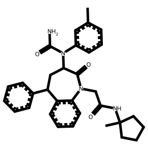 Cc1cccc(N(C(N)=O)C2CC(c3ccccc3)c3ccccc3N(CC(=O)NC3(C)CCCC3)C2=O)c1